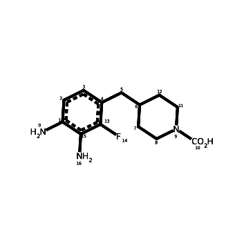 Nc1ccc(CC2CCN(C(=O)O)CC2)c(F)c1N